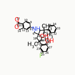 CC(C)(CC(O)(CNc1ccc2c(c1)COC2=O)CC(C)(C)c1cc(F)ccc1O)c1ccccc1